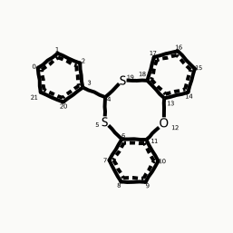 c1ccc(C2Sc3ccccc3Oc3ccccc3S2)cc1